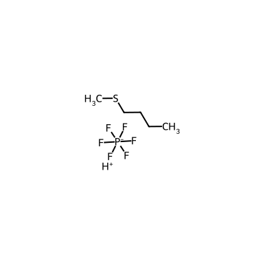 CCCCSC.F[P-](F)(F)(F)(F)F.[H+]